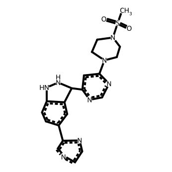 CS(=O)(=O)N1CCN(c2cc(C3NNc4ccc(-c5cnccn5)cc43)ncn2)CC1